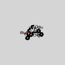 C[C@@H]1Cc2c(n(C(=O)OC(C)(C)C)c3ccccc23)[C@@H](c2ccc(O[C@@H]3CCN(C(=O)OC(C)(C)C)C3)s2)N1CC(F)(F)CO[Si](c1ccccc1)(c1ccccc1)C(C)(C)C